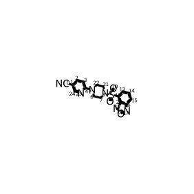 N#Cc1ccc(N2CCN(S(=O)(=O)c3cccc4nonc34)CC2)nc1